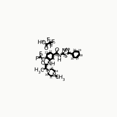 CC(C(=O)Nc1cc(C(=O)Nc2nnc(-c3ccccc3)s2)ccc1OC(F)F)N1CCN(C)CC1.O=C(O)C(F)(F)F